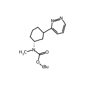 CN(C(=O)OC(C)(C)C)[C@@H]1CCCC(c2cccnn2)C1